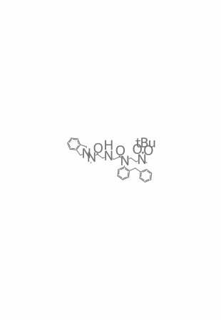 CN(CCN(C(=O)CNCC(=O)N(C)N1Cc2ccccc2C1)c1ccccc1Cc1ccccc1)C(=O)OC(C)(C)C